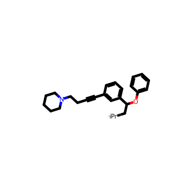 C[C](C)CC(Oc1ccccc1)c1cccc(C#CCCN2CCCCC2)c1